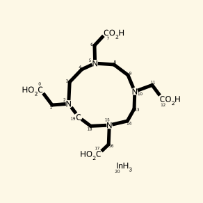 O=C(O)CN1CCN(CC(=O)O)CCN(CC(=O)O)CCN(CC(=O)O)CC1.[InH3]